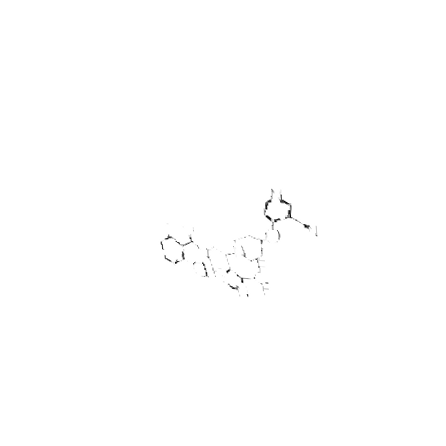 N#Cc1cnccc1OC1CCN(C(CNC(=O)c2c(F)cccc2Cl)c2scnc2C(F)F)CC1